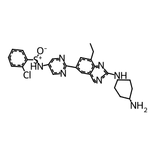 CCc1cc(-c2ncc(N[S+]([O-])c3ccccc3Cl)cn2)cc2cnc(N[C@H]3CC[C@H](N)CC3)nc12